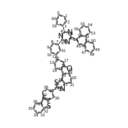 c1ccc(-c2nc(-c3cccc(-c4ccc5c(c4)oc4ccc6nc(-c7ccc8c(c7)sc7ccccc78)sc6c45)c3)nc(-c3cc4ccccc4c4ccccc34)n2)cc1